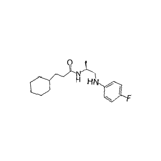 C[C@@H](CNc1ccc(F)cc1)NC(=O)CCC1CCCCC1